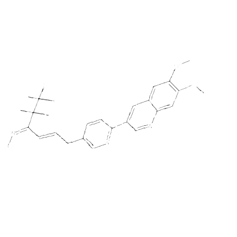 COc1cc2cc(-c3ccc(C/C=C/C(=N\O)C(C)(C)C(F)(F)F)cn3)cnc2cc1OC